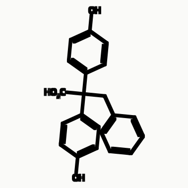 O=C(O)C(Cc1ccccc1)(c1ccc(O)cc1)c1ccc(O)cc1